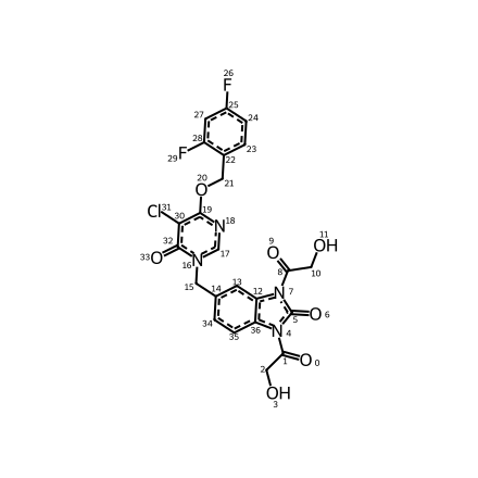 O=C(CO)n1c(=O)n(C(=O)CO)c2cc(Cn3cnc(OCc4ccc(F)cc4F)c(Cl)c3=O)ccc21